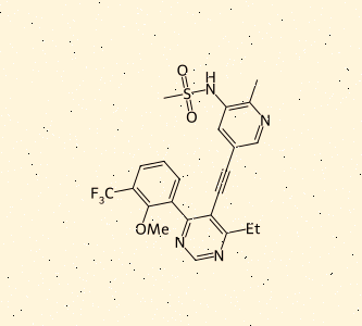 CCc1ncnc(-c2cccc(C(F)(F)F)c2OC)c1C#Cc1cnc(C)c(NS(C)(=O)=O)c1